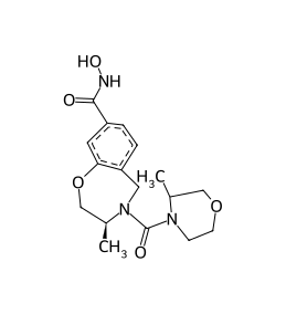 CC1COCCN1C(=O)N1Cc2ccc(C(=O)NO)cc2OC[C@@H]1C